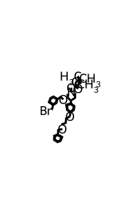 CC(C)(C)OC(=O)ON1CCC(c2ccc(OCCCOCc3ccccc3)cc2)C(OCc2cccc(CBr)c2)C1